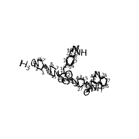 CN1CCC(N2CCN(C(=O)[C@@H](Cc3ccc4[nH]ncc4c3)OC(=O)N3CCC(n4c(=O)[nH]c5c6ccccc6ncc54)CC3)CC2)CC1